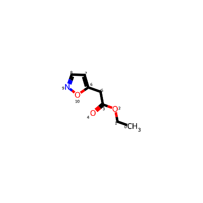 CCOC(=O)[CH]c1ccno1